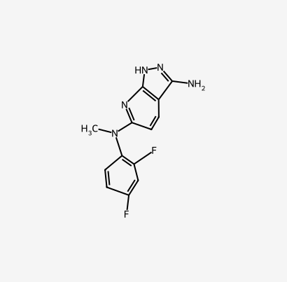 CN(c1ccc2c(N)n[nH]c2n1)c1ccc(F)cc1F